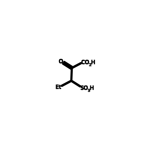 CCC(C(=O)C(=O)O)S(=O)(=O)O